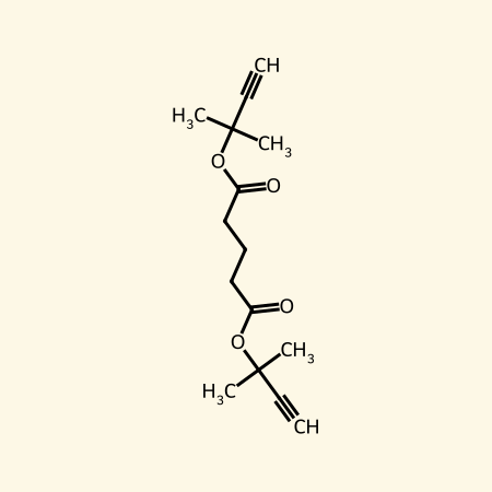 C#CC(C)(C)OC(=O)CCCC(=O)OC(C)(C)C#C